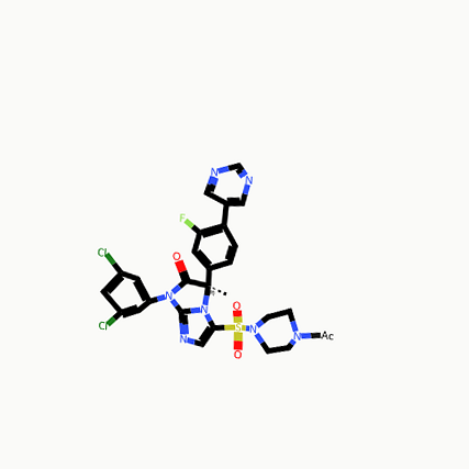 CC(=O)N1CCN(S(=O)(=O)c2cnc3n2[C@](C)(c2ccc(-c4cncnc4)c(F)c2)C(=O)N3c2cc(Cl)cc(Cl)c2)CC1